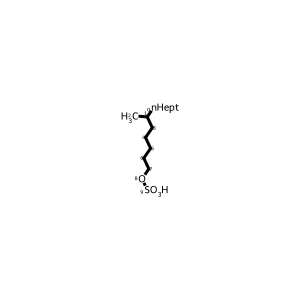 CCCCCCCC(C)CCCCCOS(=O)(=O)O